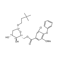 COc1cc(C(=O)OC[C@H]2O[C@@H](OCCS(C)(C)C)C[C@@H](O)[C@@H]2O)cc(Cl)c1Oc1ccccc1